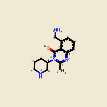 Cc1nc2cccc(CN)c2c(=O)n1C1CCCNC1